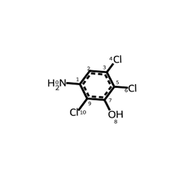 Nc1cc(Cl)c(Cl)c(O)c1Cl